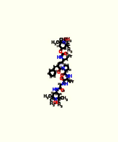 CC(C)CC(/C=C/[C@H](Cc1ccccc1)C(=O)N1CCCC1C(=O)NC(C(=O)NCC(=O)NC1CC(C)(C)N(O)C(C)(C)C1)C(C)C)NC(=O)OC1CC(C)(C)N(O)C(C)(C)C1